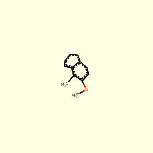 COc1c[c]c2ccccc2c1C